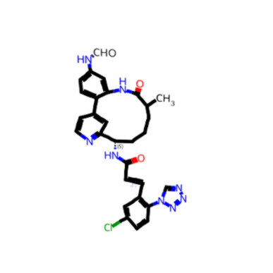 CC1CCC[C@H](NC(=O)/C=C/c2cc(Cl)ccc2-n2cnnn2)c2cc(ccn2)-c2ccc(NC=O)cc2NC1=O